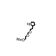 COCCOCOCCC1CCCN1